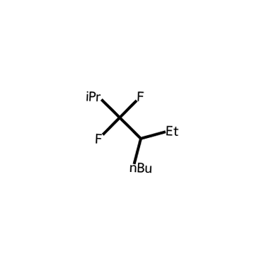 CCCCC(CC)C(F)(F)C(C)C